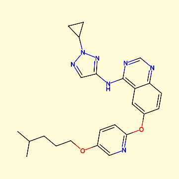 CC(C)CCCOc1ccc(Oc2ccc3ncnc(Nc4cnn(C5CC5)n4)c3c2)nc1